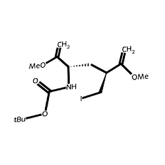 C=C(OC)[C@@H](CI)C[C@H](NC(=O)OC(C)(C)C)C(=C)OC